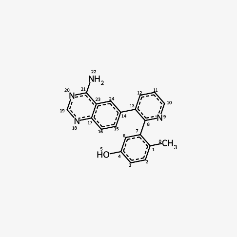 Cc1ccc(O)cc1-c1ncccc1-c1ccc2ncnc(N)c2c1